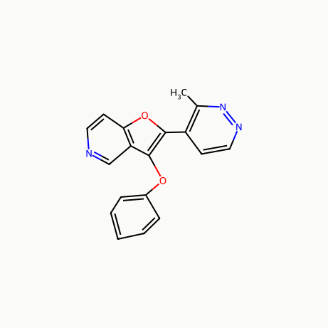 Cc1nnccc1-c1oc2ccncc2c1Oc1ccccc1